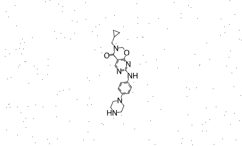 O=C1c2cnc(Nc3ccc(N4CCNCC4)cc3)nc2OCN1CC1CC1